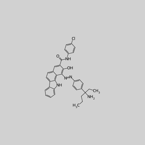 CCCC(N)(CC)c1ccc(N=Nc2c(O)c(C(=O)Nc3ccc(Cl)cc3)cc3ccc4c5ccccc5[nH]c4c23)cc1